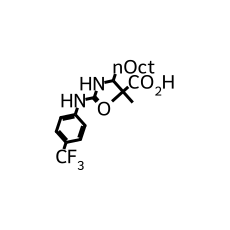 CCCCCCCCC(NC(=O)Nc1ccc(C(F)(F)F)cc1)C(C)(C)C(=O)O